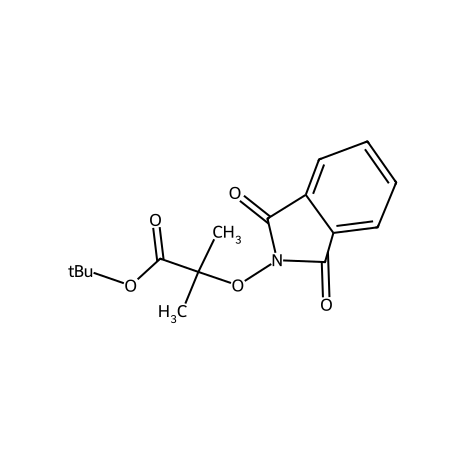 CC(C)(C)OC(=O)C(C)(C)ON1C(=O)c2ccccc2C1=O